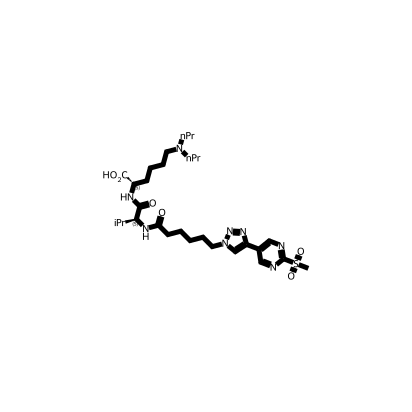 CCCN(CCC)CCCC[C@H](NC(=O)[C@@H](NC(=O)CCCCCn1cc(-c2cnc(S(C)(=O)=O)nc2)nn1)C(C)C)C(=O)O